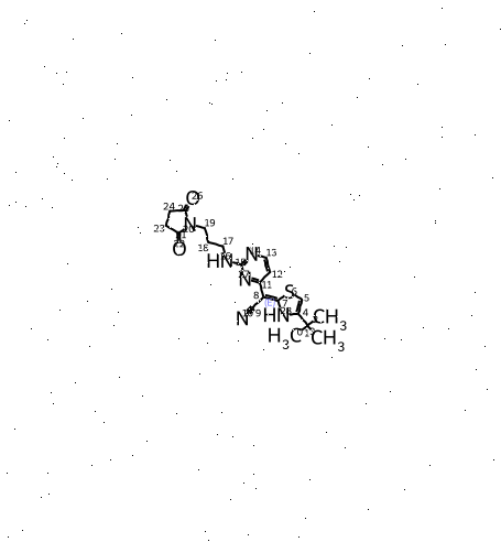 CC(C)(C)C1=CS/C(=C(/C#N)c2ccnc(NCCCN3C(=O)CCC3=O)n2)N1